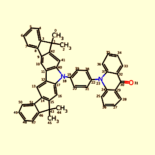 CC1(C)c2ccccc2-c2cc3c4cc5c(cc4n(-c4ccc(-n6c7ccccc7c(=O)c7ccccc76)cc4)c3cc21)C(C)(C)c1ccccc1-5